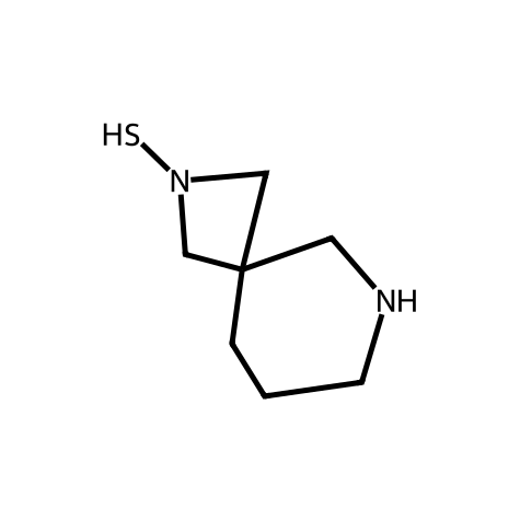 SN1CC2(CCCNC2)C1